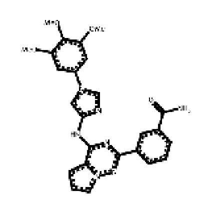 COc1cc(-n2cnc(Nc3nc(-c4cccc(C(N)=O)c4)nn4cccc34)c2)cc(OC)c1OC